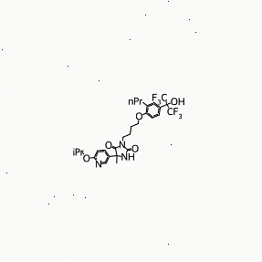 CCCc1cc(C(O)(C(F)(F)F)C(F)(F)F)ccc1OCCCCN1C(=O)NC(C)(c2ccc(OC(C)C)nc2)C1=O